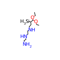 CCOC(OCC)C([SiH3])CCNCCNCCN